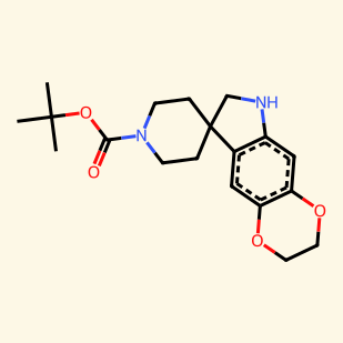 CC(C)(C)OC(=O)N1CCC2(CC1)CNc1cc3c(cc12)OCCO3